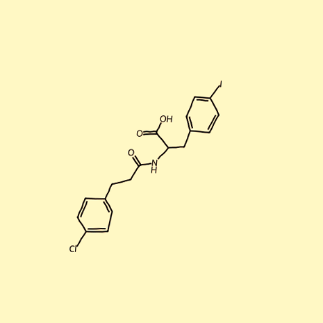 O=C(CCc1ccc(Cl)cc1)NC(Cc1ccc(I)cc1)C(=O)O